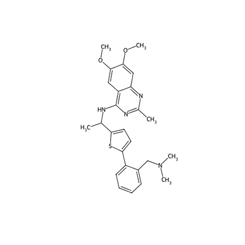 COc1cc2nc(C)nc(NC(C)c3ccc(-c4ccccc4CN(C)C)s3)c2cc1OC